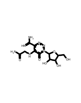 N=C(N)c1nnn(C2OC(CO)C(O)C2O)c(=O)c1NCC(N)=O